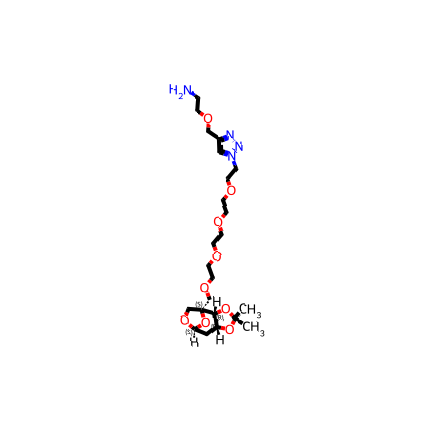 CC1(C)O[C@@H]2[C@@H](C[C@H]3OC[C@]2(COCCOCCOCCOCCn2cc(COCCN)nn2)O3)O1